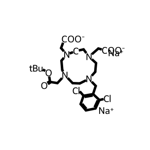 CC(C)(C)OC(=O)CN1CCN(CC(=O)[O-])CCN(CC(=O)[O-])CCN(Cc2c(Cl)cccc2Cl)CC1.[Na+].[Na+]